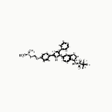 CN(C)CCOc1ccc(-c2nc(-c3ccncc3)c(-c3ccc4c(c3)CCC4NS(=O)(=O)C(F)(F)F)[nH]2)cc1